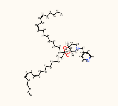 CCCCC/C=C\C/C=C\CCCCCCCCC1(CCCCCCCC/C=C\C/C=C\CCCCC)O[C@H]2CN(Cc3ccncc3)CC[C@H]2O1